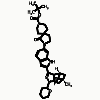 CC(C)(C)OC(=O)N1CCC2(CC1)CCN(c1ccc3cc(C4=NN(C5CCCCO5)C5C[C@]6(C)C[C@H](C45)C6(F)F)[nH]c3c1)C2=O